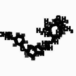 CC1(C)CC2(COC2)C(C)(C)CNN(PNNc2cn3nc(Oc4cccc(NC=O)c4)ccc3n2)N1